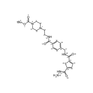 CC(C)(C)OC(=O)N1CCN(CCNC(=O)c2ccc(CNC(=O)c3ccc(C(=O)NN)s3)cc2)CC1